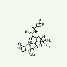 CC(C)(C)OC(=O)N(C[C@@H]1CCNC1=O)NC(=O)[C@@H]1[C@@H]2[C@H](CN1C(=O)C(NC(=O)C1CC(F)(F)C1)C(C)(C)C)C2(C)C